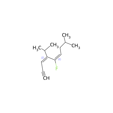 C#C/C=C(\C(F)=C/CC(C)C)C(C)C